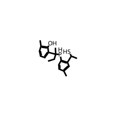 CCC(C)(Pc1ccc(C)cc1C(C)S)c1cccc(C)c1O